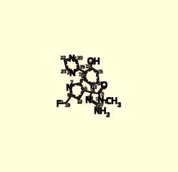 CN1C(=O)C(c2ccnc(CF)c2)(c2ccc(O)c(-c3cnccn3)c2)N=C1N